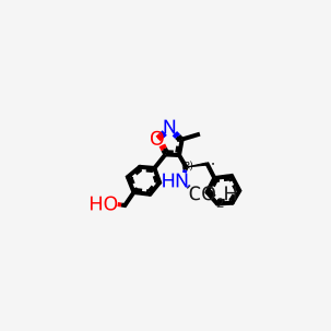 Cc1noc(-c2ccc(CO)cc2)c1[C@@H]([CH]c1ccccc1)NC(=O)O